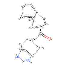 O=C(c1ccc2ccccc2c1)C1CCc2[nH]cnc2C1